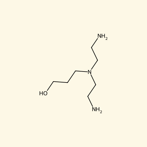 NCCN(CCN)CCCO